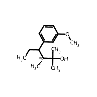 CCC(c1cccc(OC)c1)[C@@H](C)C(C)(C)O